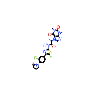 C[C@H]1CCCN1c1ccc(-c2nc(NC(=O)[C@H](C)n3cnc4c3c(=O)n(C)c(=O)n4C)sc2F)cc1F